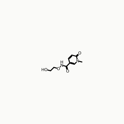 Cn1cc(C(=O)NOCCO)ccc1=O